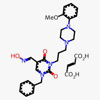 COc1ccccc1N1CCN(CCCn2c(=O)c(C=NO)cn(Cc3ccccc3)c2=O)CC1.O=C(O)/C=C/C(=O)O